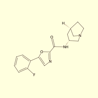 O=C(N[C@@H]1C[C@H]2CCN(C2)C1)c1ncc(-c2ccccc2F)o1